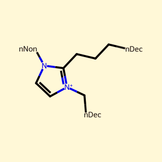 CCCCCCCCCCCCCc1n(CCCCCCCCC)cc[n+]1CCCCCCCCCCC